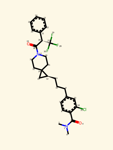 CN(C)C(=O)c1ccc(CCC[C@H]2CC23CCN(C(=O)[C@H](c2ccccc2)C(F)(F)F)CC3)cc1Cl